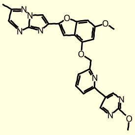 COc1cc(OCc2cccc(-c3cnc(OC)nc3)n2)c2cc(-c3cn4nc(C)cnc4n3)oc2c1